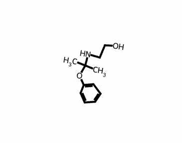 CC(C)(NCCO)Oc1ccccc1